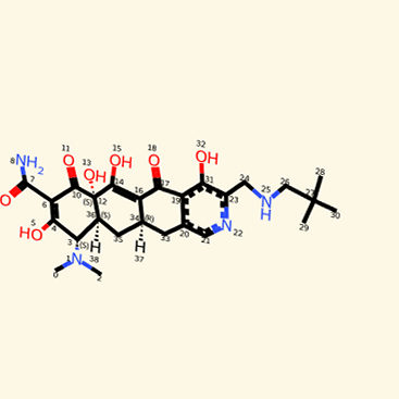 CN(C)[C@@H]1C(O)=C(C(N)=O)C(=O)[C@@]2(O)C(O)=C3C(=O)c4c(cnc(CNCC(C)(C)C)c4O)C[C@H]3C[C@@H]12